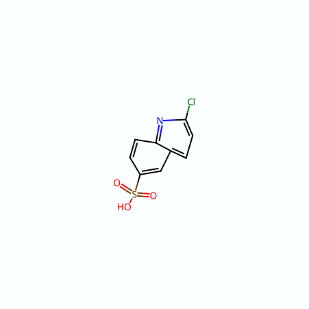 O=S(=O)(O)c1ccc2nc(Cl)ccc2c1